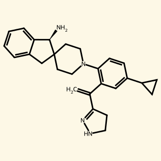 C=C(C1=NNCC1)c1cc(C2CC2)ccc1N1CCC2(CC1)Cc1ccccc1[C@H]2N